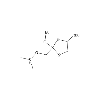 CCOC1(CO[SiH](C)C)SCC(C(C)(C)C)S1